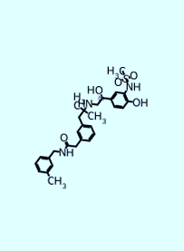 Cc1cccc(CNC(=O)Cc2cccc(CC(C)(C)NC[C@@H](O)c3ccc(O)c(NS(C)(=O)=O)c3)c2)c1